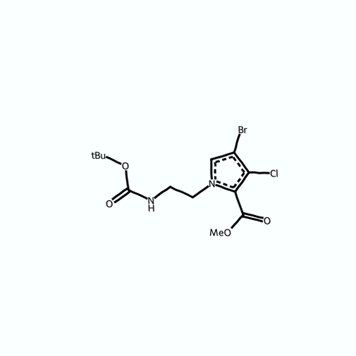 COC(=O)c1c(Cl)c(Br)cn1CCNC(=O)OC(C)(C)C